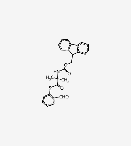 CC(C)(NC(=O)OCC1c2ccccc2-c2ccccc21)C(=O)Sc1ccccc1C=O